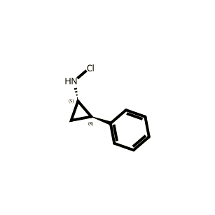 ClN[C@H]1C[C@@H]1c1ccccc1